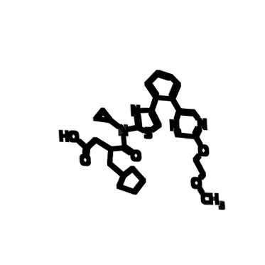 COCCOc1cnc(-c2ccccc2-c2csc(N(C(=O)C(CC(=O)O)CC3CCCC3)C3CC3)n2)cn1